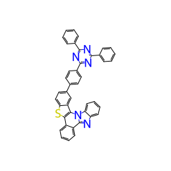 c1ccc(-c2nc(-c3ccccc3)nc(-c3ccc(-c4ccc5sc6c7ccccc7c7nc8ccccc8n7c6c5c4)cc3)n2)cc1